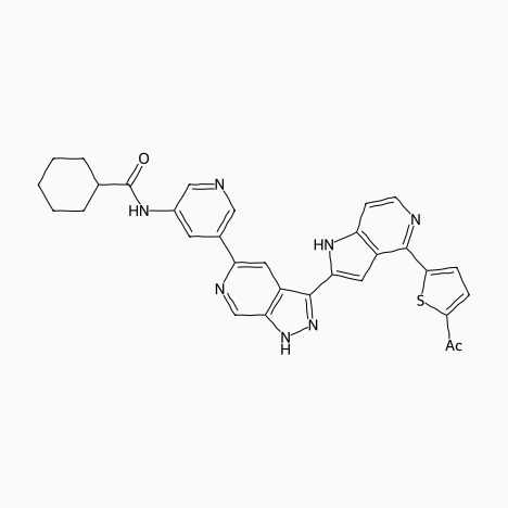 CC(=O)c1ccc(-c2nccc3[nH]c(-c4n[nH]c5cnc(-c6cncc(NC(=O)C7CCCCC7)c6)cc45)cc23)s1